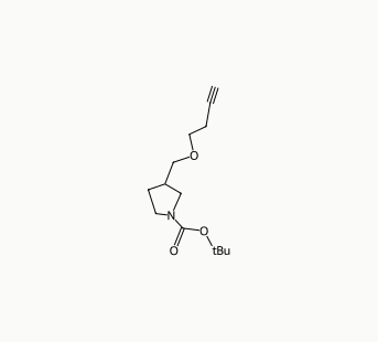 C#CCCOCC1CCN(C(=O)OC(C)(C)C)C1